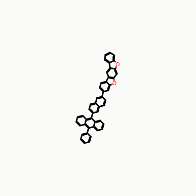 c1ccc(-c2c3ccccc3c(-c3ccc4cc(-c5ccc6c(c5)oc5cc7oc8ccccc8c7cc56)ccc4c3)c3ccccc23)cc1